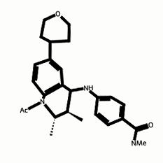 CNC(=O)c1ccc(NC2c3cc(C4CCOCC4)ccc3N(C(C)=O)[C@@H](C)[C@@H]2C)cc1